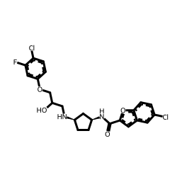 O=C(N[C@H]1CC[C@@H](NCC(O)COc2ccc(Cl)c(F)c2)C1)c1cc2cc(Cl)ccc2o1